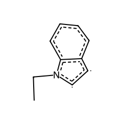 CCn1[c][c]c2ccccc21